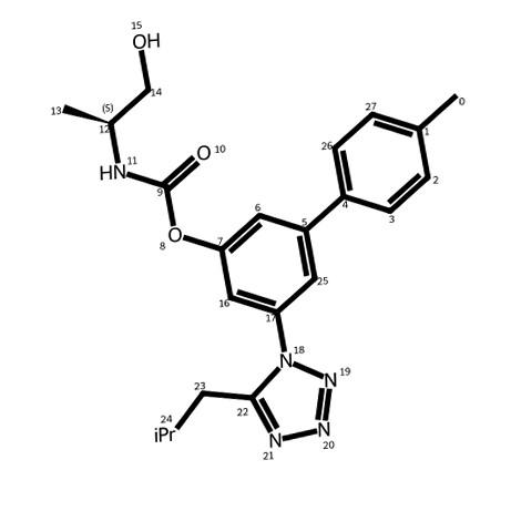 Cc1ccc(-c2cc(OC(=O)N[C@@H](C)CO)cc(-n3nnnc3CC(C)C)c2)cc1